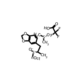 CCCCCCCC[S+]([O-])C(C)Cc1ccc2c(c1)OCO2.C[S+](C)[O-].O=C(O)C(F)(F)F